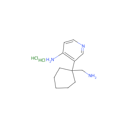 Cl.Cl.NCC1(c2cnccc2N)CCCCC1